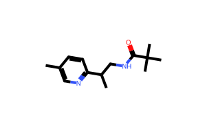 Cc1ccc(C(C)CNC(=O)C(C)(C)C)nc1